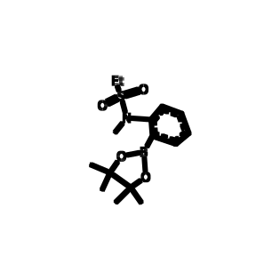 CCS(=O)(=O)N(C)c1ccccc1B1OC(C)(C)C(C)(C)O1